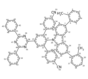 Cc1ccccc1-c1ccc2c(c1)c1cc(-c3ccccc3C)ccc1n2-c1c(-c2ccc(C#N)cc2)cc(-c2nc(-c3ccccc3)nc(-c3ccccc3)n2)cc1-c1ccc(C#N)cc1